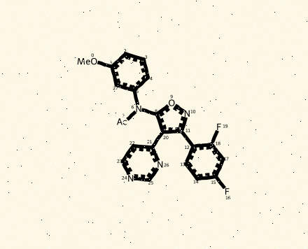 COc1cccc(N(C(C)=O)c2onc(-c3ccc(F)cc3F)c2-c2ccncn2)c1